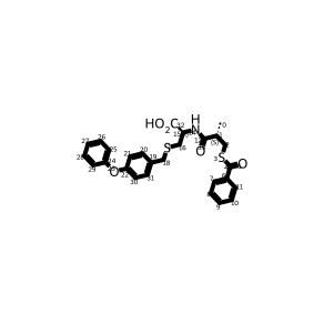 C[C@H](CSC(=O)c1ccccc1)C(=O)N[C@@H](CSCc1ccc(Oc2ccccc2)cc1)C(=O)O